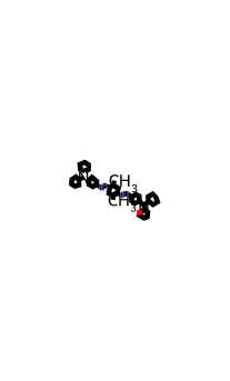 Cc1cc(/C=C/c2ccc(N(c3ccccc3)c3ccccc3)cc2)c(C)cc1/C=C/c1ccc(N(c2ccccc2)c2ccccc2)cc1